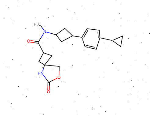 CN(C(=O)C1CC2(COC(=O)N2)C1)C1CC(c2ccc(C3CC3)cc2)C1